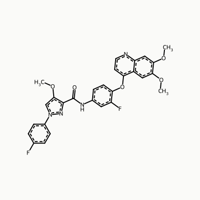 COc1cc2nccc(Oc3ccc(NC(=O)c4nn(-c5ccc(F)cc5)cc4OC)cc3F)c2cc1OC